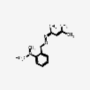 CC(C)=C/C(C)=N\OCc1ccccc1N(C)C(=O)O